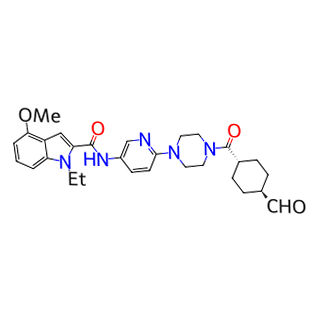 CCn1c(C(=O)Nc2ccc(N3CCN(C(=O)[C@H]4CC[C@H](C=O)CC4)CC3)nc2)cc2c(OC)cccc21